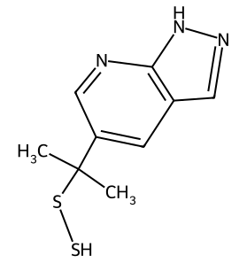 CC(C)(SS)c1cnc2[nH]ncc2c1